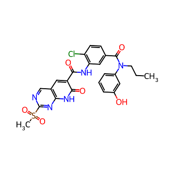 CCCN(C(=O)c1ccc(Cl)c(NC(=O)c2cc3cnc(S(C)(=O)=O)nc3[nH]c2=O)c1)c1cccc(O)c1